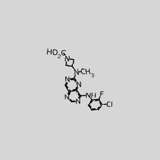 CN(c1ncc2ncnc(Nc3cccc(Cl)c3F)c2n1)C1CN(C(=O)O)C1